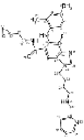 Bc1ccc(Nc2c(C(=O)NOCC3CC3)cc3c(ncn3CCCCNCc3ccccn3)c2F)c(C)c1